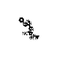 CCS(=O)(=NC1CC1)C1CC(CC#N)(n2cc(-c3ncnc4c3ccn4-c3ccccc3)cn2)C1